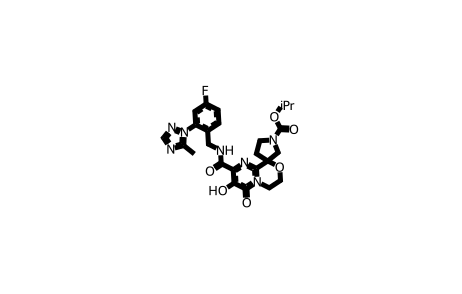 Cc1ncnn1-c1cc(F)ccc1CNC(=O)c1nc2n(c(=O)c1O)CCOC21CCN(C(=O)OC(C)C)C1